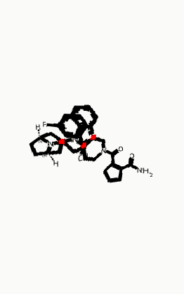 Cc1nc2ccccc2n1C1C[C@H]2CC[C@@H](C1)N2CCC1(c2cccc(F)c2)CCN(C(=O)C2=C(C(N)=O)CCC2)CC1